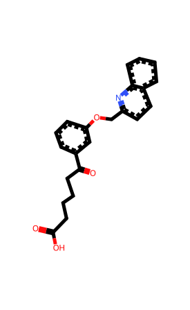 O=C(O)CCCCC(=O)c1cccc(OCc2ccc3ccccc3n2)c1